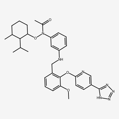 COc1cccc(CNc2cccc(N(OC3CCCC(C)C3C(C)C)C(C)=O)c2)c1Oc1ccc(-c2nnn[nH]2)cn1